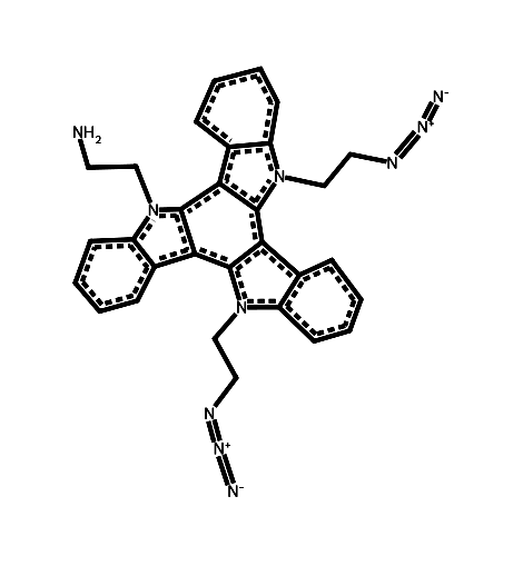 [N-]=[N+]=NCCn1c2ccccc2c2c3c(c4ccccc4n3CCN)c3c(c4ccccc4n3CCN=[N+]=[N-])c21